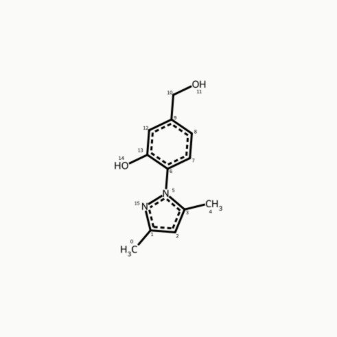 Cc1cc(C)n(-c2ccc(CO)cc2O)n1